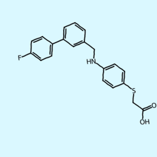 O=C(O)CSc1ccc(NCc2cccc(-c3ccc(F)cc3)c2)cc1